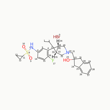 Br.CCC1(c2cc(NS(=O)(=O)C3CC3)ccc2F)[C@@H]2CN(CC3(O)Cc4ccccc4C3)C[C@@H]21